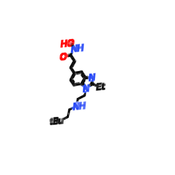 CCc1nc2cc(C=CC(=O)NO)ccc2n1CCNCCC(C)(C)C